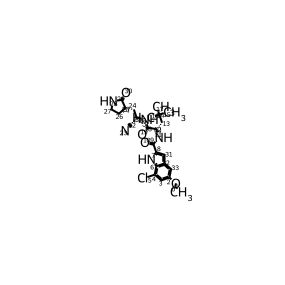 COc1cc(Cl)c2[nH]c(C(=O)N[C@@H](CC(C)(C)C)C(=O)N[C@H](C#N)C[C@@H]3CCNC3=O)cc2c1